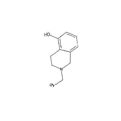 C[C](C)CN1CCc2c(O)cccc2C1